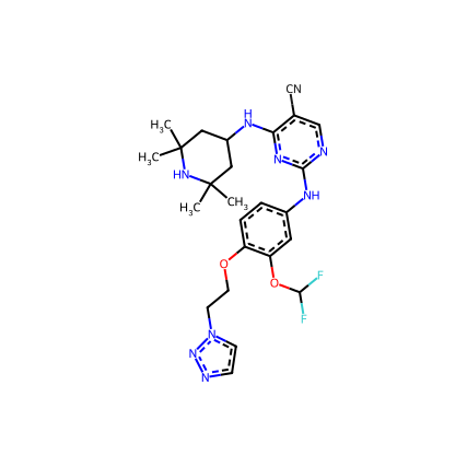 CC1(C)CC(Nc2nc(Nc3ccc(OCCn4ccnn4)c(OC(F)F)c3)ncc2C#N)CC(C)(C)N1